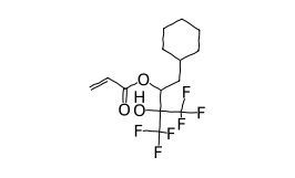 C=CC(=O)OC(CC1CCCCC1)C(O)(C(F)(F)F)C(F)(F)F